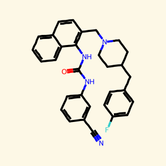 N#Cc1cccc(NC(=O)Nc2c(CN3CCC(Cc4ccc(F)cc4)CC3)ccc3ccccc23)c1